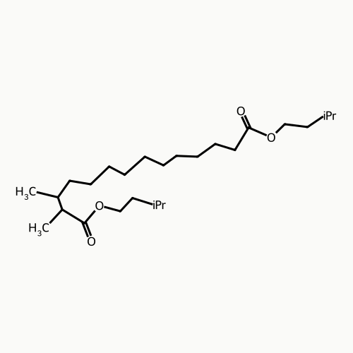 CC(C)CCOC(=O)CCCCCCCCCCC(C)C(C)C(=O)OCCC(C)C